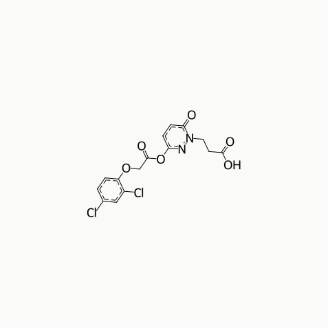 O=C(O)CCn1nc(OC(=O)COc2ccc(Cl)cc2Cl)ccc1=O